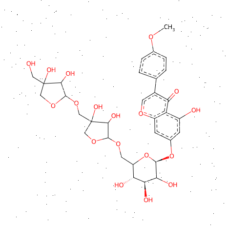 COc1ccc(-c2coc3cc(O[C@@H]4OC(COC5OCC(O)(COC6OCC(O)(CO)C6O)C5O)[C@@H](O)[C@H](O)C4O)cc(O)c3c2=O)cc1